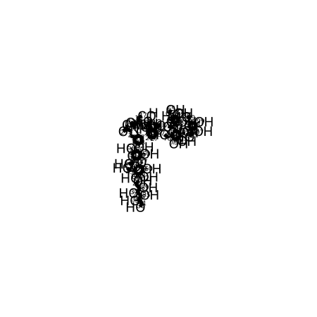 COC(=O)[C@H](Cc1ccccc1)NC(=O)[C@@H](N)CC(=O)O.O=C1NS(=O)(=O)c2ccccc21.OC[C@@H](O)[C@@H](O)[C@H](O)[C@@H](O)CO.OC[C@H]1O[C@@H](O[C@H]2[C@H](O)[C@@H](O)[C@H](O)O[C@@H]2CO)[C@H](O)[C@@H](O)[C@H]1O.OC[C@H]1O[C@@](CO)(O[C@H]2O[C@H](CO)[C@@H](O)[C@H](O)[C@H]2O)[C@@H](O)[C@@H]1O.OC[C@H]1O[C@](O)(CO)[C@@H](O)[C@@H]1O